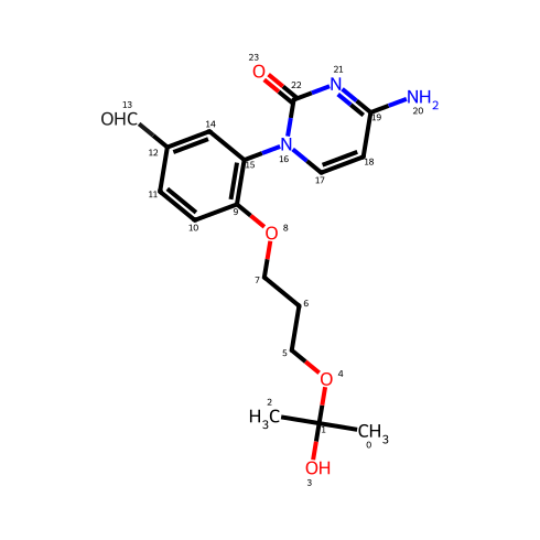 CC(C)(O)OCCCOc1ccc(C=O)cc1-n1ccc(N)nc1=O